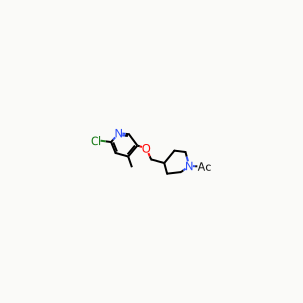 CC(=O)N1CCC(COc2cnc(Cl)cc2C)CC1